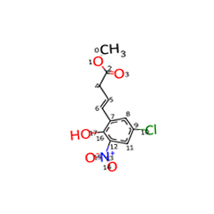 COC(=O)C/C=C/c1cc(Cl)cc([N+](=O)[O-])c1O